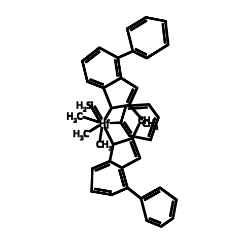 CC1=Cc2c(-c3ccccc3)cccc2[CH]1[Hf]([CH3])([CH3])([CH3])(=[SiH2])([c]1ccccc1)[CH]1C(C)=Cc2c(-c3ccccc3)cccc21